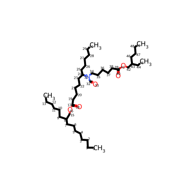 CCCCCCCCC(CCCCCC)COC(=O)CCCCCC(CCCCCC)N(C=O)CCCCCC(=O)OCC(CC)CCCC